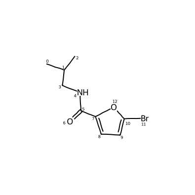 CC(C)CNC(=O)c1ccc(Br)o1